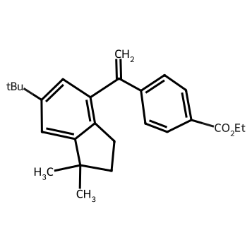 C=C(c1ccc(C(=O)OCC)cc1)c1cc(C(C)(C)C)cc2c1CCC2(C)C